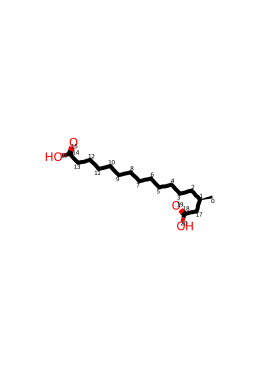 C[C@H](CCCCCCCCCCCCC(=O)O)CC(=O)O